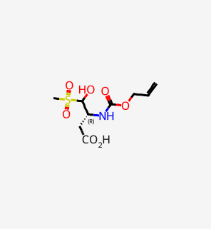 C=CCOC(=O)N[C@H](CC(=O)O)C(O)S(C)(=O)=O